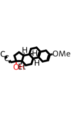 C=C=C[C@]1(O)CC[C@H]2[C@@H]3CCC4=C(CC=C(OC)C4)[C@H]3CC[C@@]21CC